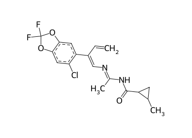 C=C/C(=C\N=C(/C)NC(=O)C1CC1C)c1cc2c(cc1Cl)OC(F)(F)O2